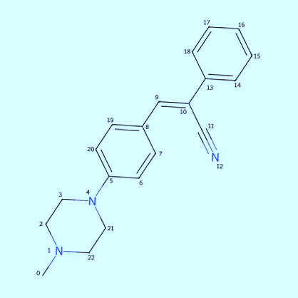 CN1CCN(c2ccc(C=C(C#N)c3ccccc3)cc2)CC1